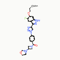 COCCOc1cc2[nH]nc(-c3cn(-c4ccc(C(=O)N5CC(N6CCOC6)C5)cc4)nn3)c2cc1F